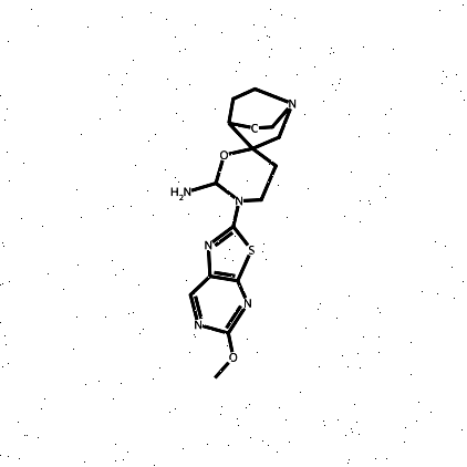 COc1ncc2nc(N3CCC4(CN5CCC4CC5)OC3N)sc2n1